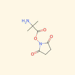 CC(C)(N)C(=O)ON1C(=O)CCC1=O